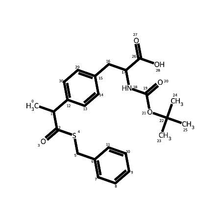 CC(C(=O)SCc1ccccc1)c1ccc(CC(NC(=O)OC(C)(C)C)C(=O)O)cc1